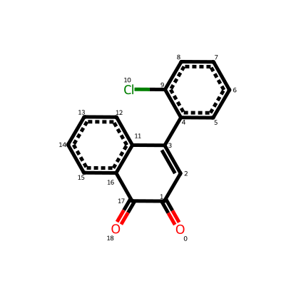 O=C1C=C(c2ccccc2Cl)c2ccccc2C1=O